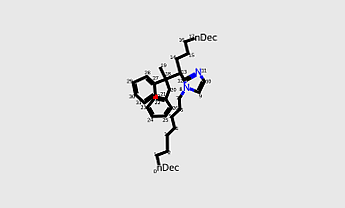 CCCCCCCCCCCCCCCCCn1ccnc1C(CCCCCCCCCCCCC)C(C)(Cc1ccccc1)c1ccccc1